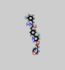 O=C(Cc1ccc(-c2ncc(OCCN3CCOCC3)cc2F)cc1)NCc1cccc(F)c1